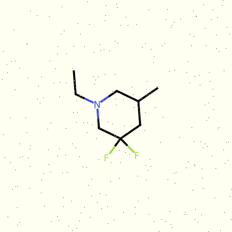 CCN1CC(C)CC(F)(F)C1